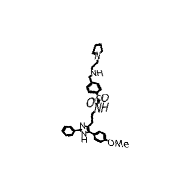 COc1ccc(-c2[nH]c(-c3ccccc3)nc2CCNS(=O)(=O)c2ccc(CNCCN3CCCC3)cc2)cc1